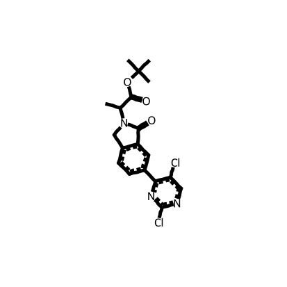 CC(C(=O)OC(C)(C)C)N1Cc2ccc(-c3nc(Cl)ncc3Cl)cc2C1=O